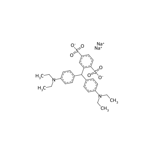 CCN(CC)c1ccc(C(c2ccc(N(CC)CC)cc2)c2cc(S(=O)(=O)[O-])ccc2S(=O)(=O)[O-])cc1.[Na+].[Na+]